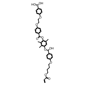 C=CC(=O)OCCCCOc1ccc(C(O)Oc2cc(C)c(OC(=O)c3ccc(OCCOc4ccc(B(O)O)cc4)cc3)c(C)c2C)cc1